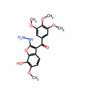 COc1cc(C(=O)c2c(NN)oc3c(O)c(OC)ccc23)cc(OC)c1OC